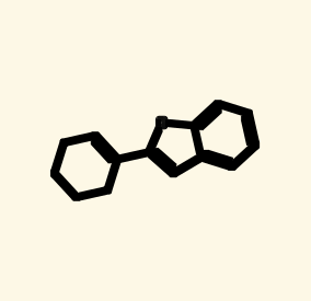 C1=C(c2cc3ccccc3o2)CCCC1